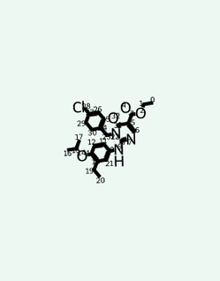 CCOC(=O)c1cnc(Nc2ccc(OC(C)C)c(CC)c2)n(CC2=CC=C(Cl)CC2)c1=O